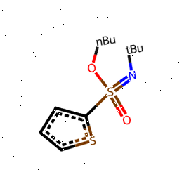 CCCCOS(=O)(=NC(C)(C)C)c1cccs1